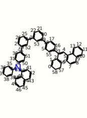 C1=CC(/C(=C\c2cccc3ccccc23)c2ccc(-c3cccc(-c4cccc(-c5ccc(N(c6ccccc6)c6cccc7ccccc67)cc5)c4)c3)cc2)=CCC1